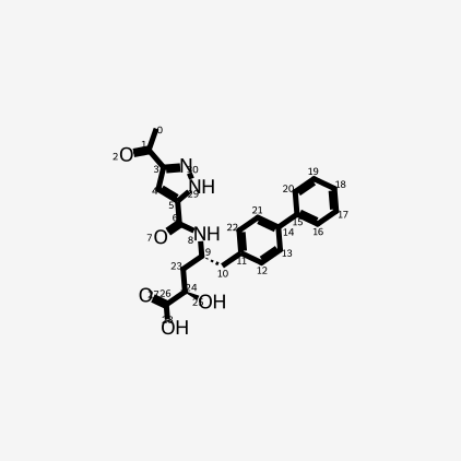 CC(=O)c1cc(C(=O)N[C@H](Cc2ccc(-c3ccccc3)cc2)C[C@@H](O)C(=O)O)[nH]n1